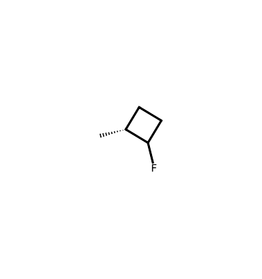 C[C@@H]1CCC1F